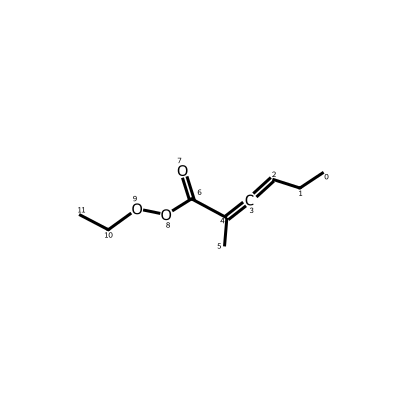 CCC=C=C(C)C(=O)OOCC